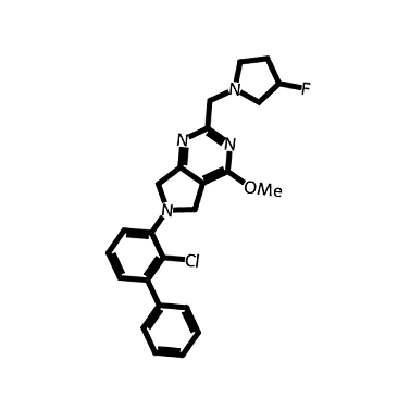 COc1nc(CN2CCC(F)C2)nc2c1CN(c1cccc(-c3ccccc3)c1Cl)C2